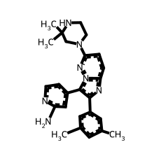 Cc1cc(C)cc(-c2nc3ccc(N4CCNC(C)(C)C4)nn3c2-c2ccnc(N)c2)c1